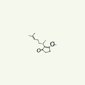 COC1=C(C(C)CCC=C(C)C)C(=O)CC1